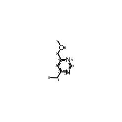 CCc1cc(COC)ncn1